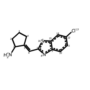 NC1CCC/C1=C\c1nc2ccc(Cl)cc2s1